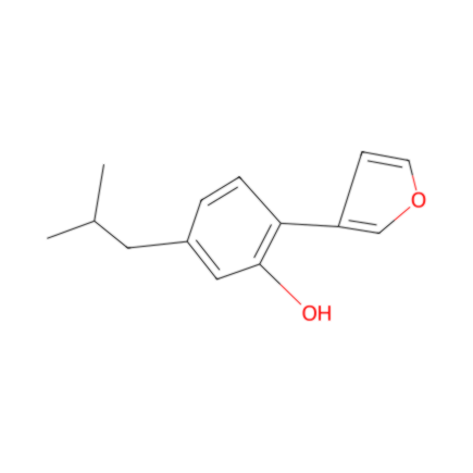 CC(C)Cc1ccc(-c2ccoc2)c(O)c1